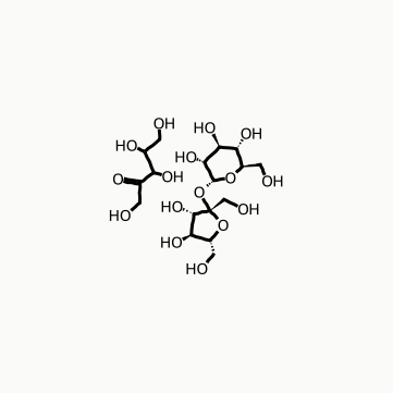 O=C(CO)C(O)C(O)CO.OC[C@H]1O[C@@](CO)(O[C@H]2O[C@H](CO)[C@@H](O)[C@H](O)[C@H]2O)[C@@H](O)[C@@H]1O